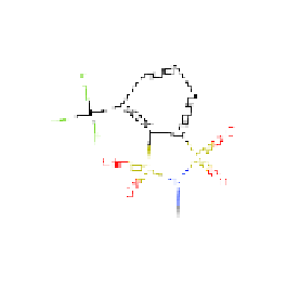 CN1S(=O)(=O)c2cccc(C(F)(F)F)c2S1(=O)=O